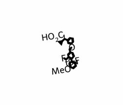 COc1ccc(F)c(-c2ccc(COc3cccc([C@H](CC(=O)O)C4CC4)c3)cc2[C@H](F)C(C)(C)C)c1